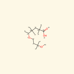 COC(C)(C)CCOC(C)C(C)(C)CC(C)(C)C(=O)O